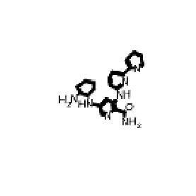 NC(=O)c1ncc(N[C@@H]2CCCC[C@@H]2N)cc1Nc1cccc(-c2ccccn2)n1